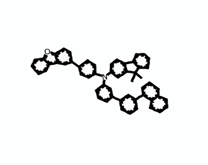 CC1(C)c2ccccc2-c2ccc(N(c3ccc(-c4ccc5oc6ccccc6c5c4)cc3)c3cccc(-c4cccc(-c5cccc6ccccc56)c4)c3)cc21